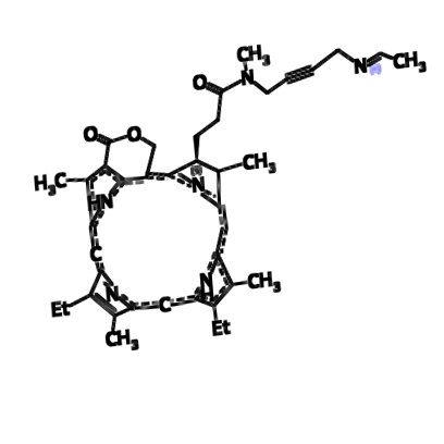 C/C=N/CC#CCN(C)C(=O)CC[C@@H]1c2nc(cc3[nH]c(cc4nc(cc5[nH]c6c2COC(=O)c6c5C)C(CC)=C4C)c(CC)c3C)C1C